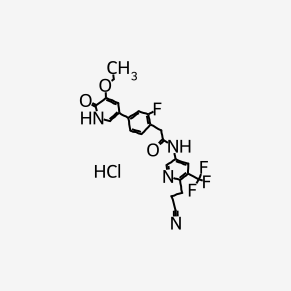 CCOc1cc(-c2ccc(CC(=O)Nc3cnc(CCC#N)c(C(F)(F)F)c3)c(F)c2)c[nH]c1=O.Cl